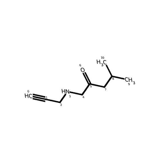 C#CCNCC(=O)C[C](C)C